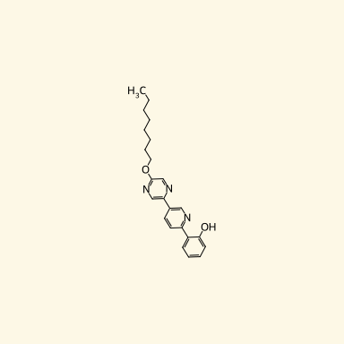 CCCCCCCCOc1cnc(-c2ccc(-c3ccccc3O)nc2)cn1